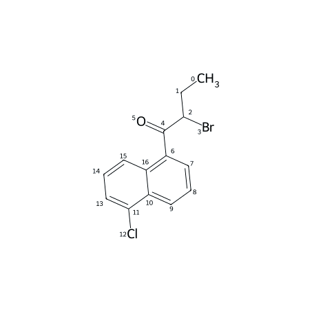 CCC(Br)C(=O)c1cccc2c(Cl)cccc12